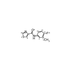 Cc1cc(NC(=O)c2cscn2)ccc1F